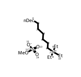 CCCCCCCCCCCCCCCC[N+](CC)(CC)CC.COS(=O)(=O)[O-]